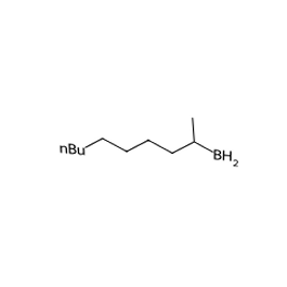 BC(C)CCCCCCCC